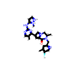 Cc1cc(CN2C(=O)c3cc(-c4nc(Nc5ccnn5C)ncc4C)cn3CC2C)ncc1F